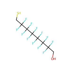 OCC(F)(F)C(F)(F)C(F)(F)C(F)(F)C(F)(F)C(F)(F)CS